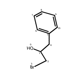 OC(CBr)Cc1ccccc1